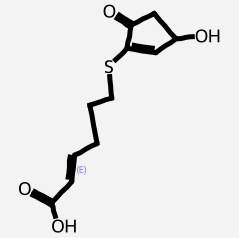 O=C(O)/C=C/CCCSC1=CC(O)CC1=O